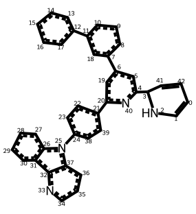 C1=CNC(c2cc(-c3cccc(-c4ccccc4)c3)cc(-c3ccc(-n4c5ccccc5c5ncccc54)cc3)n2)C=C1